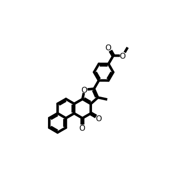 COC(=O)c1ccc(-c2oc3c(c2C)C(=O)C(=O)c2c-3ccc3ccccc23)cc1